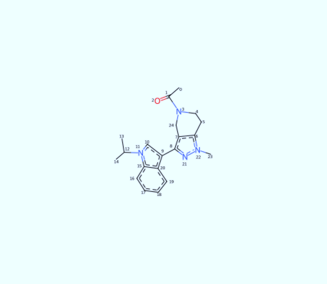 CC(=O)N1CCc2c(c(-c3cn(C(C)C)c4ccccc34)nn2C)C1